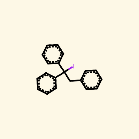 IC(Cc1ccccc1)(c1ccccc1)c1ccccc1